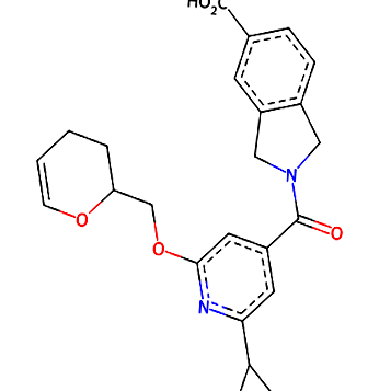 O=C(O)c1ccc2c(c1)CN(C(=O)c1cc(OCC3CCC=CO3)nc(C3CC3)c1)C2